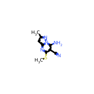 CSc1nc2cc(C)nn2c(N)c1C#N